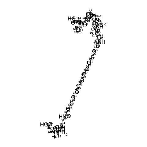 CC[C@H](C)[C@H](NC(=O)[C@H]1CCCC[N+]1(C)Cc1ccc(NC(=O)OCCOCCOCCOCCOCCOCCOCCOCCOCCOCCOCCOCCC(=O)NCCCC[C@H](N)C(=O)N[C@H](C(=O)N[C@@H](C)CCC(=O)O)C(C)C)cc1)C(=O)N(C)[C@H](C[C@@H](OC(C)=O)c1nc(C(=O)N[C@@H](Cc2ccccc2)C[C@H](C)C(=O)O)cs1)C(C)C